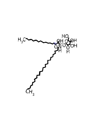 CCCCCCCCCCCCC/C=C/C(O)[C@H](COC1OC(CO)C(O)C(O)C1O)NC(=O)CCCCCCCCCCCCCCCCCCCCCCCCC